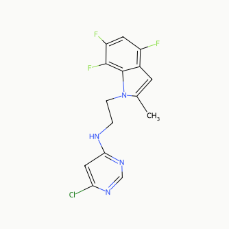 Cc1cc2c(F)cc(F)c(F)c2n1CCNc1cc(Cl)ncn1